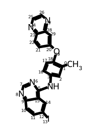 Cc1cc(Nc2ncnc3ccc(I)cc23)ccc1Oc1ccc2nccnc2c1